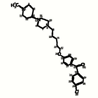 CN1CCC(N2CCN(CCCCCOc3ccc(C(=O)c4ccc(Cl)cc4)cc3)CC2)CC1